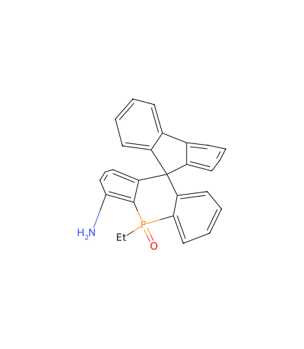 CCP1(=O)c2ccccc2C2(c3ccccc3-c3ccccc32)c2cccc(N)c21